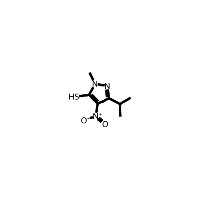 CC(C)c1nn(C)c(S)c1[N+](=O)[O-]